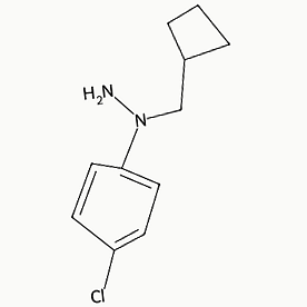 NN(CC1CCC1)c1ccc(Cl)cc1